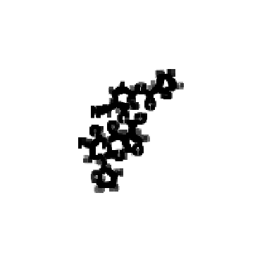 N#Cc1ccc(OC(=O)c2cccs2)nc1OC(=O)c1cocc1C(=O)n1c(=O)c(F)cn(C2CCCO2)c1=O